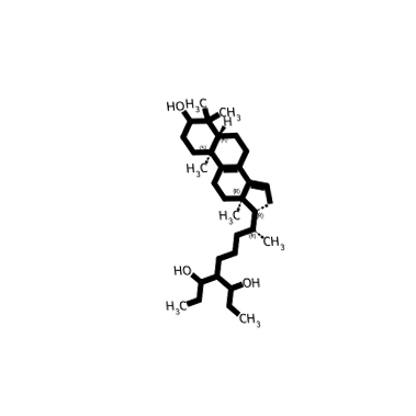 CCC(O)C(CCC[C@@H](C)[C@H]1CC=C2C3=C(CC[C@@]21C)[C@@]1(C)CCC(O)C(C)(C)[C@@H]1CC3)C(O)CC